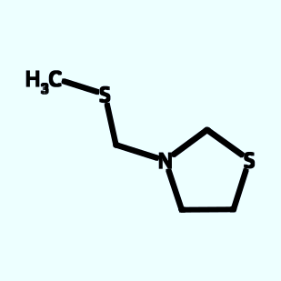 CSCN1CCSC1